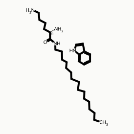 CCCCCCCCCCCCCCCCNC(=O)[C@@H](N)CCCCN.c1ccc2[nH]ccc2c1